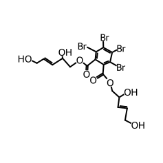 O=C(OCC(O)C=CCO)c1c(Br)c(Br)c(Br)c(Br)c1C(=O)OCC(O)C=CCO